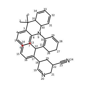 CC1(C)c2ccccc2N(C2=C(C3CC=CC=C3C3C=NCC(C#N)C3)CCC=C2)C2C=CC=CC21